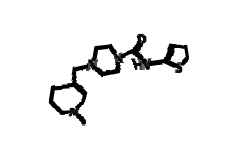 CN1CCCC(CN2CCN(C(=O)NC3=CCCS3)CC2)C1